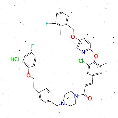 Cc1cc(C=CC(=O)N2CCN(Cc3ccc(CCOc4ccc(F)cc4)cc3)CC2)cc(Cl)c1Oc1ccc(OCc2cccc(F)c2C)cn1.Cl